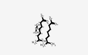 CC(C)CCCCCC(=O)[O-].CC(C)CCCCCC(=O)[O-].[CH3][Sn+2][CH3]